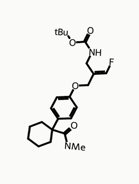 CNC(=O)C1(c2ccc(OCC(=CF)CNC(=O)OC(C)(C)C)cc2)CCCCC1